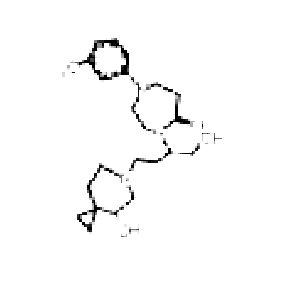 O=C1CCN(c2cccc(C(F)(F)F)c2)CCN1[C@@H](CO)CCN1CCC2(CC2)[C@H](O)C1